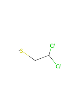 [S]CC(Cl)Cl